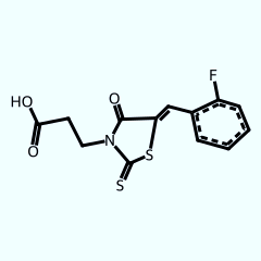 O=C(O)CCN1C(=O)/C(=C/c2ccccc2F)SC1=S